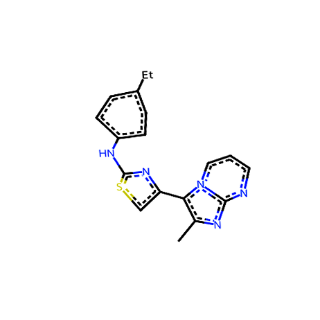 CCc1ccc(Nc2nc(-c3c(C)nc4ncccn34)cs2)cc1